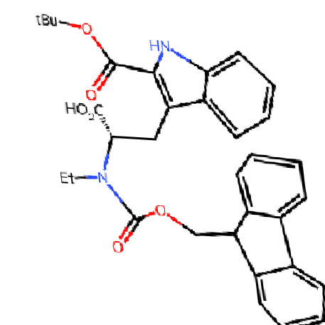 CCN(C(=O)OCC1c2ccccc2-c2ccccc21)[C@@H](Cc1c(C(=O)OC(C)(C)C)[nH]c2ccccc12)C(=O)O